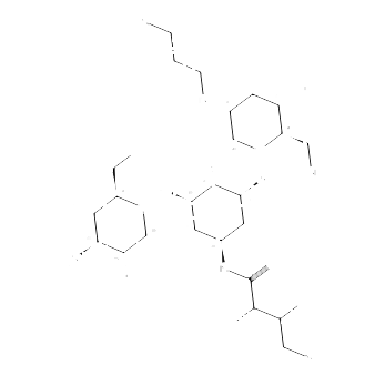 NCCCN[C@@H]1C[C@H](O)[C@@H](CN)O[C@@H]1O[C@H]1[C@H](O)[C@@H](O[C@H]2O[C@H](CO)[C@@H](O)[C@H](N)[C@H]2O)[C@H](NC(=O)C(O)C(O)CN)C[C@@H]1N